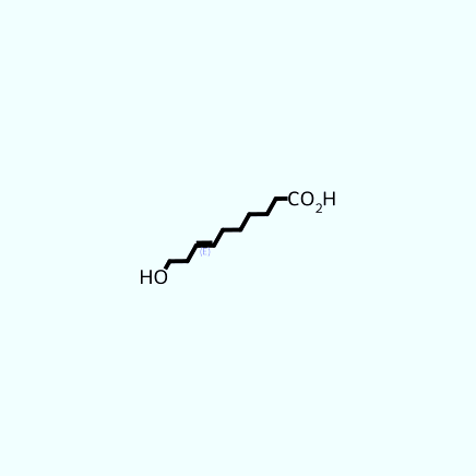 O=C(O)CCCCC/C=C/CCO